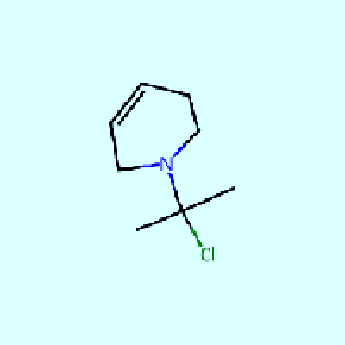 CC(C)(Cl)N1CC=CCC1